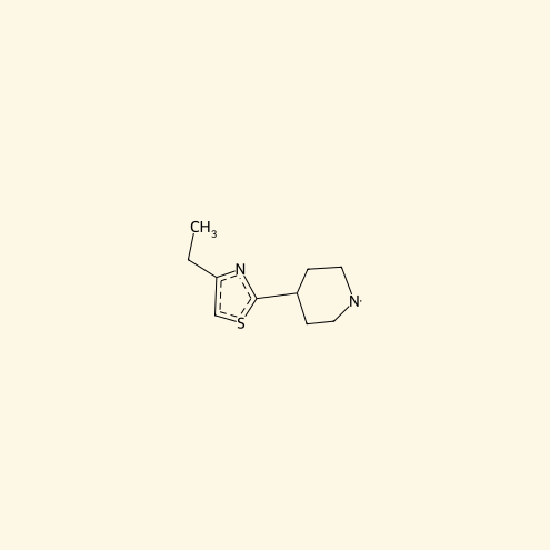 CCc1csc(C2CC[N]CC2)n1